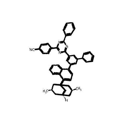 C[C@@H]1C[C@@H]2C[C@H](C)CC(c3ccc(-c4cc(-c5ccccc5)cc(-c5nc(-c6ccccc6)nc(-c6ccc(C#N)cc6)n5)c4)c4ccccc34)(C1)C2